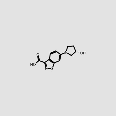 O=C(O)c1nsc2cc(N3CC[C@H](O)C3)ccc12